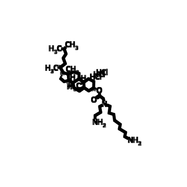 CC(C)CCC[C@@H](C)[C@H]1CC[C@H]2[C@@H]3CC=C4C[C@@H](OC(=O)CN(CCCN)CCCCCCCCN)CC[C@]4(C)[C@H]3CC[C@]12C.Cl.Cl.Cl